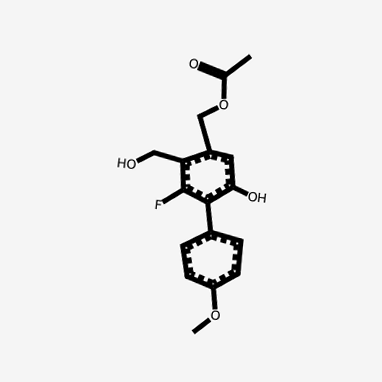 COc1ccc(-c2c(O)cc(COC(C)=O)c(CO)c2F)cc1